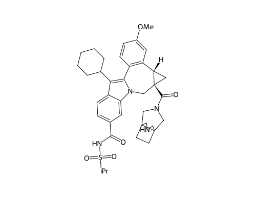 COc1ccc2c(c1)[C@@H]1C[C@]1(C(=O)N1CC34CCC3(CNC4)C1)Cn1c-2c(C2CCCCC2)c2ccc(C(=O)NS(=O)(=O)C(C)C)cc21